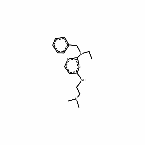 CCN(Cc1ccccc1)c1nccc(NCCN(C)C)n1